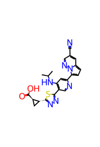 CC(C)Nc1cc(-c2ccc3cc(C#N)cnn23)ncc1-c1nnc([C@@H]2C[C@H]2C(=O)O)s1